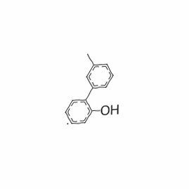 Cc1cccc(-c2cc[c]cc2O)c1